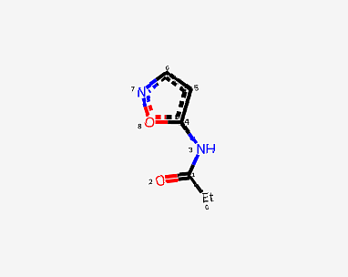 CCC(=O)Nc1ccno1